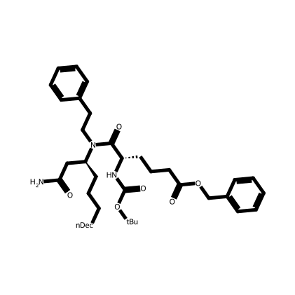 CCCCCCCCCCCCC[C@@H](CC(N)=O)N(CCc1ccccc1)C(=O)[C@H](CCCC(=O)OCc1ccccc1)NC(=O)OC(C)(C)C